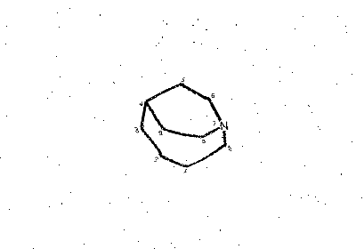 [CH]1CCCC2CCN1CC2